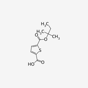 CCC(C)(C)OC(=O)c1ccc(C(=O)O)s1